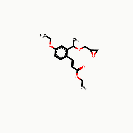 CCOC(=O)/C=C/c1ccc(OCC)cc1[C@@H](C)OCC1CO1